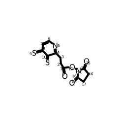 O=C(CCC1=NC=CC(=S)C1=S)ON1C(=O)CCC1=O